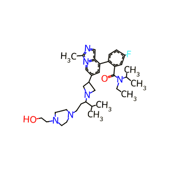 CCN(C(=O)c1cc(F)ccc1-c1cc(C2CN(C(CCN3CCN(CCO)CC3)C(C)C)C2)cn2c(C)ncc12)C(C)C